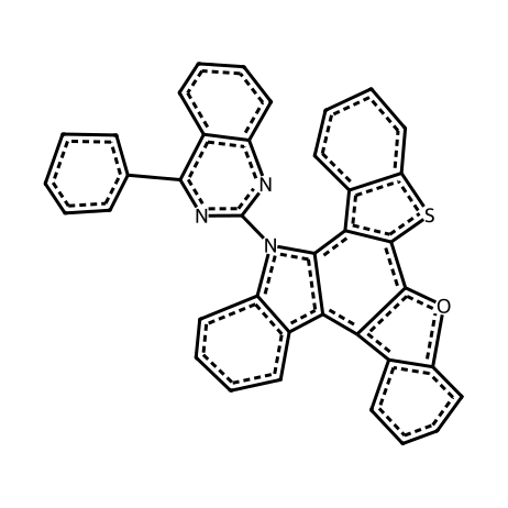 c1ccc(-c2nc(-n3c4ccccc4c4c5c6ccccc6oc5c5sc6ccccc6c5c43)nc3ccccc23)cc1